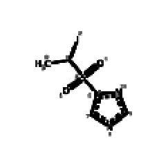 CC(I)S(=O)(=O)n1cncn1